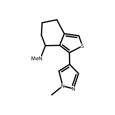 CNC1CCCc2csc(-c3cnn(C)c3)c21